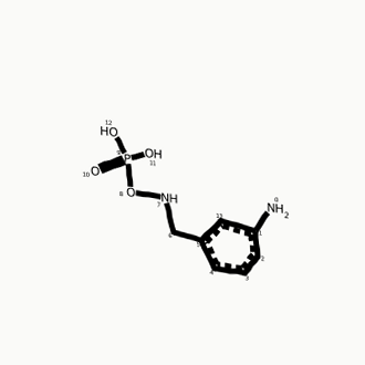 Nc1cccc(CNOP(=O)(O)O)c1